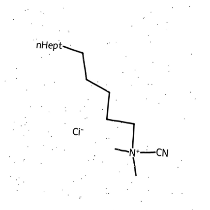 CCCCCCCCCCCC[N+](C)(C)C#N.[Cl-]